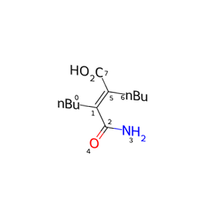 CCCCC(C(N)=O)=C(CCCC)C(=O)O